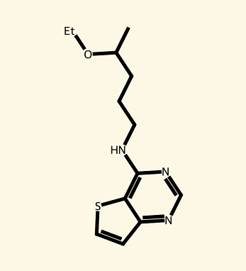 CCOC(C)CCCNc1ncnc2ccsc12